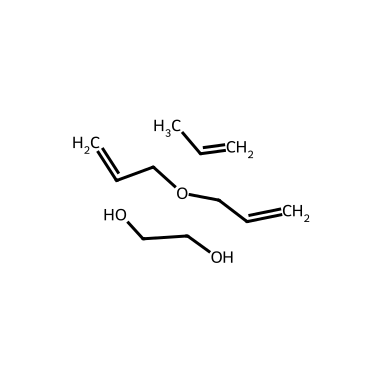 C=CC.C=CCOCC=C.OCCO